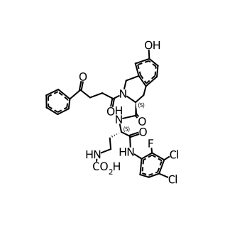 O=C(O)NCC[C@H](NC(=O)[C@@H]1Cc2ccc(O)cc2CN1C(=O)CCC(=O)c1ccccc1)C(=O)Nc1ccc(Cl)c(Cl)c1F